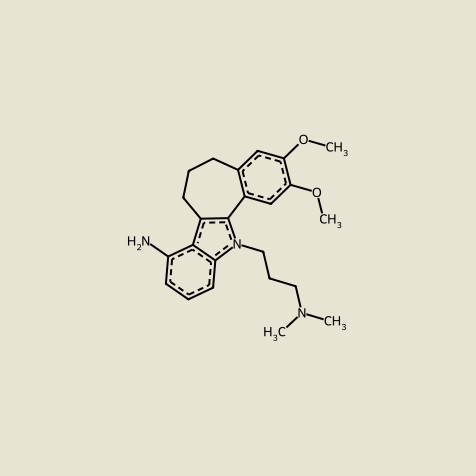 COc1cc2c(cc1OC)-c1c(c3c(N)cccc3n1CCCN(C)C)CCC2